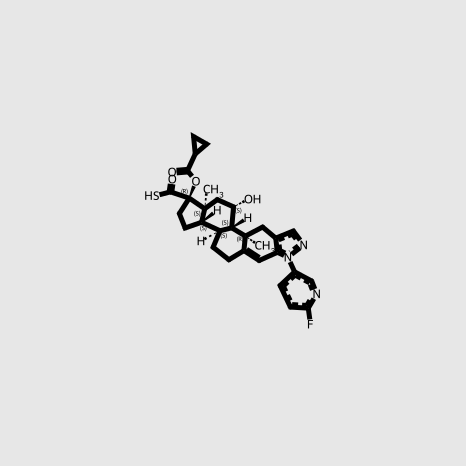 C[C@]12Cc3cnn(-c4ccc(F)nc4)c3C=C1CC[C@@H]1[C@@H]2[C@@H](O)C[C@@]2(C)[C@H]1CC[C@]2(OC(=O)C1CC1)C(=O)S